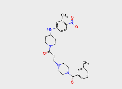 Cc1cccc(C(=O)N2CCN(CCC(=O)N3CCC(Nc4ccc([N+](=O)[O-])c(C)c4)CC3)CC2)c1